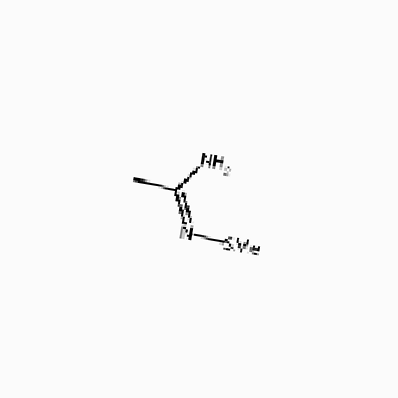 CS/N=C(/C)N